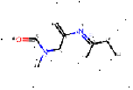 C=C(CN(C)C=O)/N=C(\C)CC